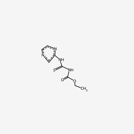 CCOC(=O)NC(=S)Nc1cnccn1